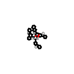 c1ccc2cc3c(cc2c1)c1ccccc1n3-c1c(-c2nc(-c3ccc4oc5ccccc5c4c3)nc(-c3ccc4oc5ccccc5c4c3)n2)c2ccccc2c2oc3ccccc3c12